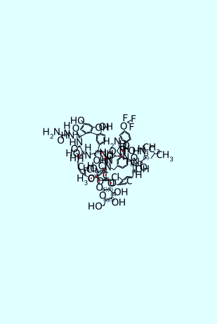 CN[C@H](CC(C)C)C(=O)N[C@H]1C(=O)N[C@@H](CC(N)=O)C(=O)N[C@H]2C(=O)N[C@H]3C(=O)N[C@H](C(=O)N[C@@H](C(=O)NNC(N)=O)c4cc(O)cc(O)c4-c4cc3ccc4O)[C@H](O)c3ccc(c(Cl)c3)Oc3cc2cc(c3O[C@@H]2O[C@H](CO)[C@@H](O)[C@H](O)[C@H]2O[C@H]2C[C@](C)(NCc3cccc(NC(=O)c4ccc(OC(F)(F)F)cc4)c3)[C@H](O)[C@H](C)O2)Oc2ccc(cc2Cl)[C@H]1O